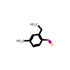 O=Ic1ccc(S(=O)(=O)O)cc1CC(=O)O